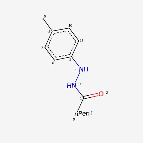 CCCCCC(=O)NNc1ccc(C)cc1